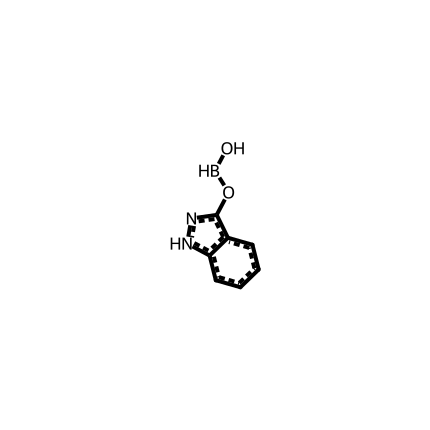 OBOc1n[nH]c2ccccc12